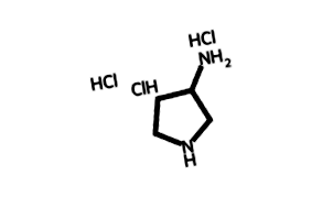 Cl.Cl.Cl.NC1CCNC1